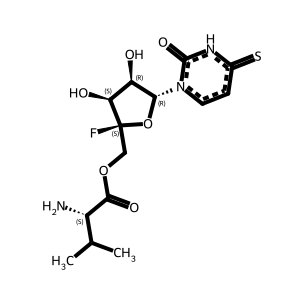 CC(C)[C@H](N)C(=O)OC[C@@]1(F)O[C@@H](n2ccc(=S)[nH]c2=O)[C@H](O)[C@@H]1O